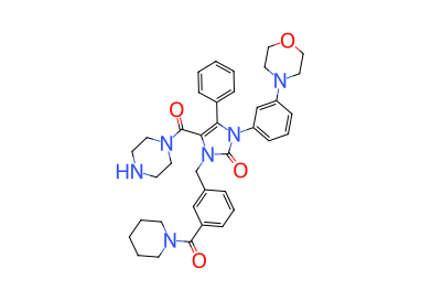 O=C(c1cccc(Cn2c(C(=O)N3CCNCC3)c(-c3ccccc3)n(-c3cccc(N4CCOCC4)c3)c2=O)c1)N1CCCCC1